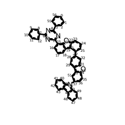 c1ccc(-c2nc(-c3ccccc3)nc(-c3cccc4c3oc3cccc(-c5ccc6c(c5)oc5ccc(-n7c8ccccc8c8ccccc87)cc56)c34)n2)cc1